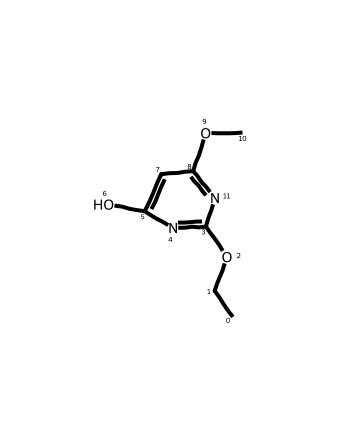 CCOc1nc(O)cc(OC)n1